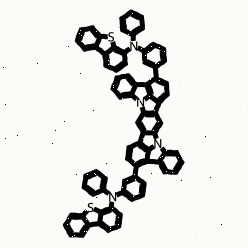 c1ccc(N(c2cccc(-c3ccc4c5cc6c(cc5n5c7ccccc7c3c45)c3ccc(-c4cccc(N(c5ccccc5)c5cccc7c5sc5ccccc57)c4)c4c5ccccc5n6c34)c2)c2cccc3c2sc2ccccc23)cc1